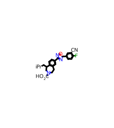 CC(C)CC1CN(C(=O)O)CCc2cc(-c3noc(-c4ccc(F)c(C#N)c4)n3)ccc21